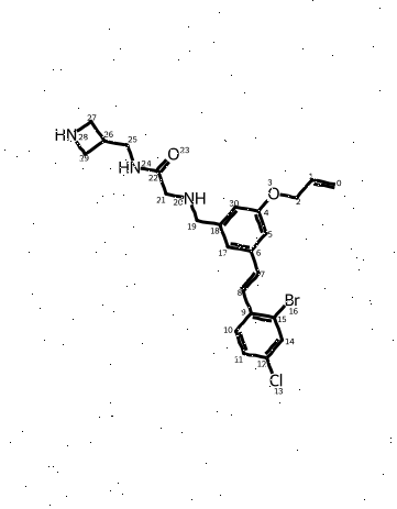 C=CCOc1cc(/C=C/c2ccc(Cl)cc2Br)cc(CNCC(=O)NCC2CNC2)c1